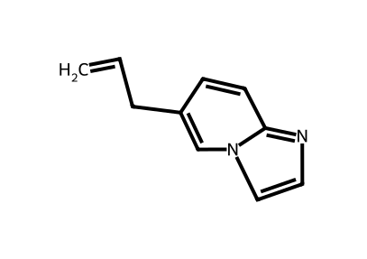 C=CCc1ccc2nccn2c1